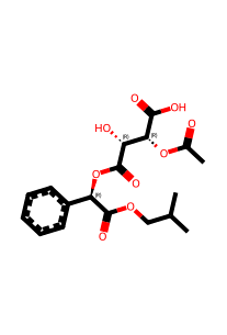 CC(=O)O[C@@H](C(=O)O)[C@@H](O)C(=O)O[C@@H](C(=O)OCC(C)C)c1ccccc1